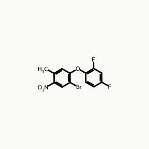 Cc1cc(Oc2ccc(F)cc2F)c(Br)cc1[N+](=O)[O-]